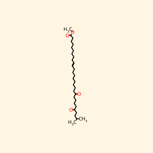 COC(=O)CCCCCCCC/C=C/CCCCCCCCC(=O)CCCCC(=O)CCC(C)C